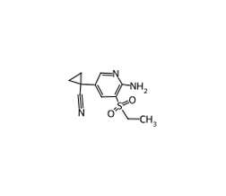 CCS(=O)(=O)c1cc(C2(C#N)CC2)cnc1N